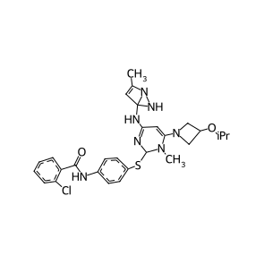 CC1=CC2(NC3=NC(Sc4ccc(NC(=O)c5ccccc5Cl)cc4)N(C)C(N4CC(OC(C)C)C4)=C3)NN12